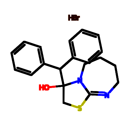 Br.OC1(C(c2ccccc2)c2ccccc2)CSC2=NCCCCN21